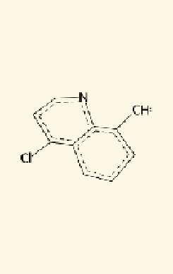 [CH]c1cccc2c(Cl)ccnc12